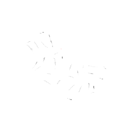 c1ccc2c(c1)Oc1ccc(-c3ccccc3-c3cccc4c3-c3ccccc3C43c4ccccc4-c4cccc5cccc3c45)cc1C21c2ccccc2-c2ccccc21